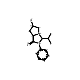 CC(C)C1N(c2ccccc2)C(=O)C2CC(F)CN21